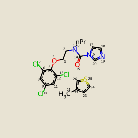 CCCN(CCOc1c(Cl)cc(Cl)cc1Cl)C(=O)n1ccnc1.Cc1ccsc1